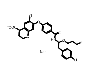 O=C(NC(Cc1ccc(Cl)cc1)OCCCF)c1ccc(Oc2cc3c(cc2Cl)C(C(=O)[O-])CCO3)cc1.[Na+]